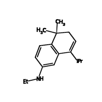 CCNc1ccc2c(c1)C(C(C)C)=CCC2(C)C